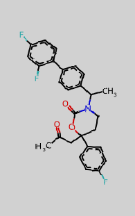 CC(=O)CC1(c2ccc(F)cc2)CCN(C(C)c2ccc(-c3ccc(F)cc3F)cc2)C(=O)O1